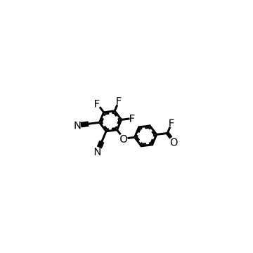 N#Cc1c(F)c(F)c(F)c(Oc2ccc(C(=O)F)cc2)c1C#N